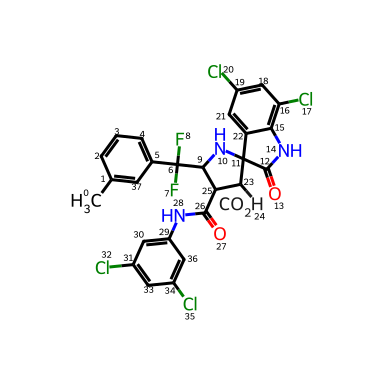 Cc1cccc(C(F)(F)C2NC3(C(=O)Nc4c(Cl)cc(Cl)cc43)C(C(=O)O)C2C(=O)Nc2cc(Cl)cc(Cl)c2)c1